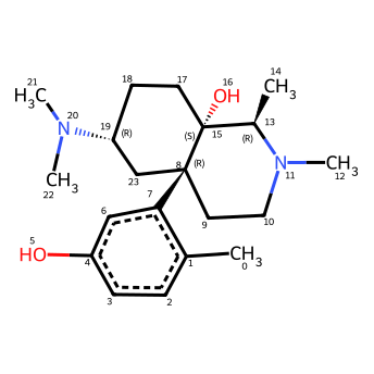 Cc1ccc(O)cc1[C@]12CCN(C)[C@H](C)[C@]1(O)CC[C@@H](N(C)C)C2